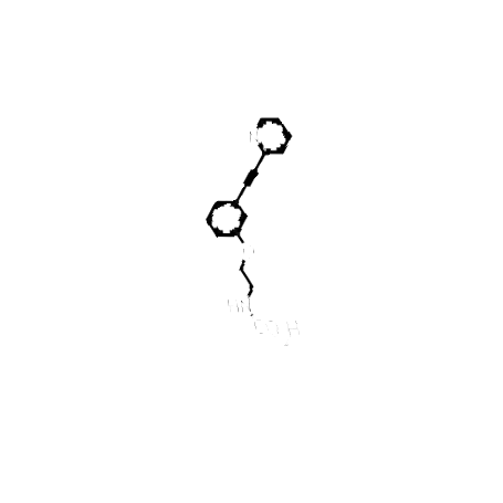 O=C(O)NCCOc1cccc(C#Cc2ccccn2)c1